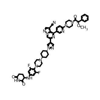 CO[C@@H](C(=O)N1CCN(c2ccc(-c3nc(-c4cnn([C@H]5CC[C@H](N6CCN(c7c(F)cc(NC8CCC(=O)NC8=O)cc7F)CC6)CC5)c4)cn4ncc(C#N)c34)cn2)CC1)c1ccccc1